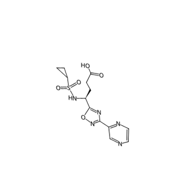 O=C(O)CC[C@H](NS(=O)(=O)C1CC1)c1nc(-c2cnccn2)no1